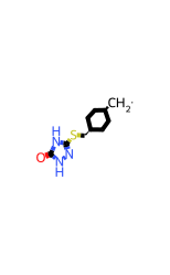 [CH2][C@H]1CC[C@H](CSc2n[nH]c(=O)[nH]2)CC1